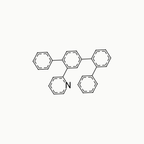 c1ccc(-c2ccccc2-c2ccc(-c3ccccc3)c(-c3ccccn3)c2)cc1